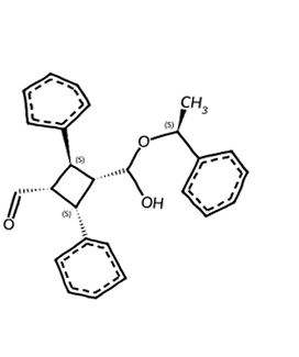 C[C@H](OC(O)[C@H]1[C@H](c2ccccc2)[C@@H](C=O)[C@H]1c1ccccc1)c1ccccc1